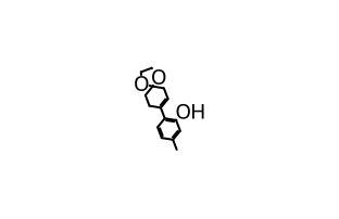 Cc1ccc(C2=CCC3(CC2)OCCO3)c(O)c1